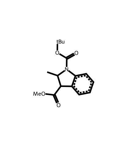 COC(=O)C1c2ccccc2N(C(=O)OC(C)(C)C)C1C